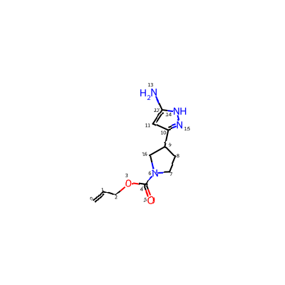 C=CCOC(=O)N1CCC(c2cc(N)[nH]n2)C1